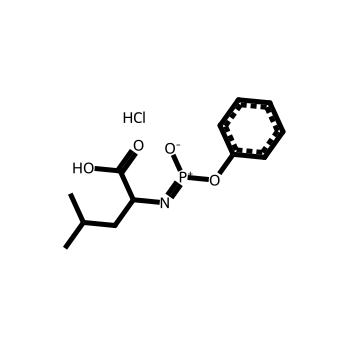 CC(C)CC(/N=[P+](\[O-])Oc1ccccc1)C(=O)O.Cl